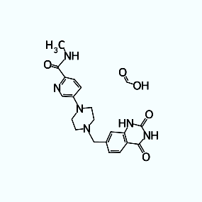 CNC(=O)c1ccc(N2CCN(Cc3ccc4c(=O)[nH]c(=O)[nH]c4c3)CC2)cn1.O=CO